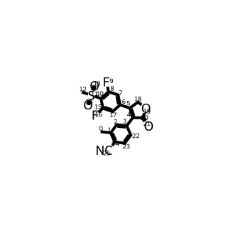 Cc1cc(C2=C(c3cc(F)c(S(C)(=O)=O)c(F)c3)COC2=O)ccc1C#N